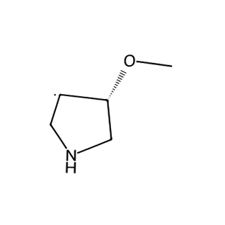 CO[C@H]1[CH]CNC1